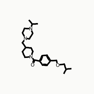 CC(C)COCc1ccc(C(=O)N2CCC(CN3CCN(C(C)C)CC3)CC2)cc1